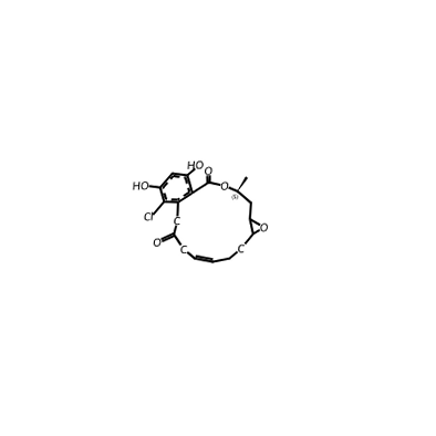 C[C@H]1CC2OC2CCC=CCC(=O)Cc2c(Cl)c(O)cc(O)c2C(=O)O1